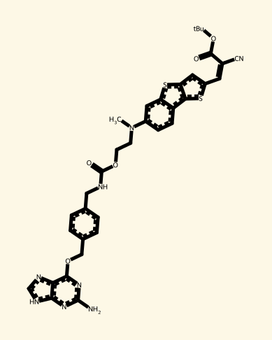 CN(CCOC(=O)NCc1ccc(COc2nc(N)nc3[nH]cnc23)cc1)c1ccc2c(c1)sc1cc(/C=C(/C#N)C(=O)OC(C)(C)C)sc12